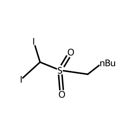 CCCCCS(=O)(=O)C(I)I